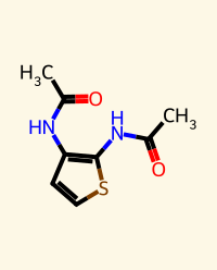 CC(=O)Nc1ccsc1NC(C)=O